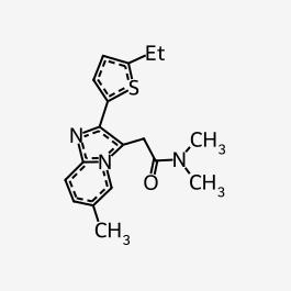 CCc1ccc(-c2nc3ccc(C)cn3c2CC(=O)N(C)C)s1